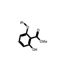 COC(=O)c1c(O)cccc1OC(C)C